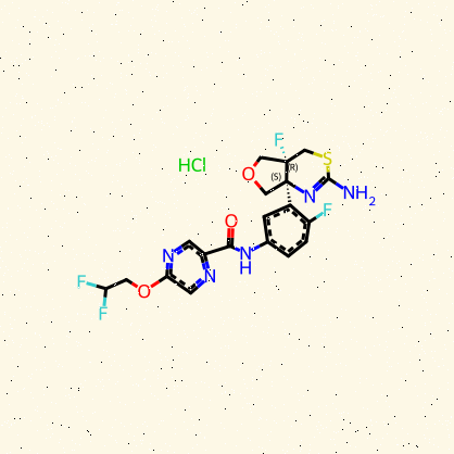 Cl.NC1=N[C@@]2(c3cc(NC(=O)c4cnc(OCC(F)F)cn4)ccc3F)COC[C@@]2(F)CS1